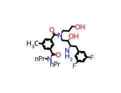 CCCN(CCC)C(=O)c1cc(C)cc(C(=O)N(CCCO)C[C@@H](O)[C@@H](N)Cc2cc(F)cc(F)c2)c1